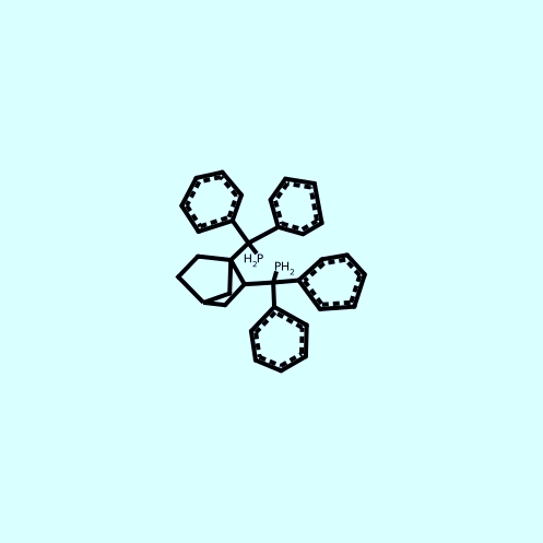 PC(c1ccccc1)(c1ccccc1)C1CC2CCC1(C(P)(c1ccccc1)c1ccccc1)C2